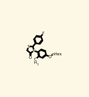 CCCCCCOc1ccc(N2C(=O)CSC2c2ccc(F)cc2)c(C)c1